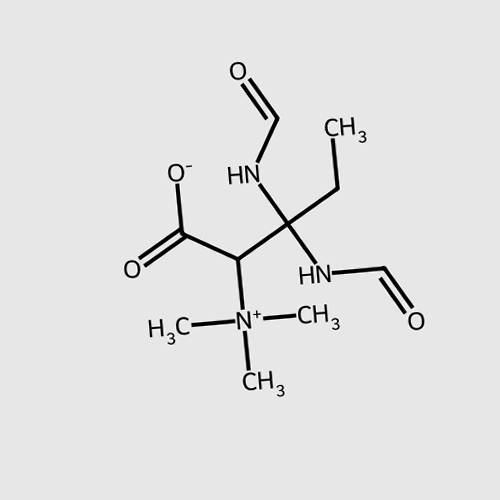 CCC(NC=O)(NC=O)C(C(=O)[O-])[N+](C)(C)C